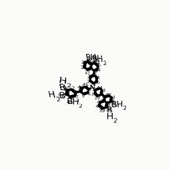 Bc1cc(-c2ccc(N(c3ccc(-c4ccc(B)c5c(B)cccc45)cc3)c3ccc(-c4ccc(B)c5c(B)cccc45)cc3)cc2)cc(B)c1B